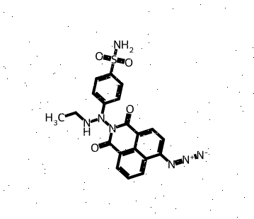 CCNN(c1ccc(S(N)(=O)=O)cc1)N1C(=O)c2cccc3c(N=[N+]=[N-])ccc(c23)C1=O